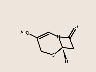 CC(=O)OC1=CN2C(=O)C[C@@H]2SC1